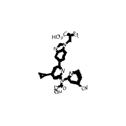 CCC(Cn1cnc2cc(-c3cc(C4CC4)cc(N(C(=O)OC(C)(C)C)c4cc(C#N)ccn4)n3)ccc21)C(=O)O